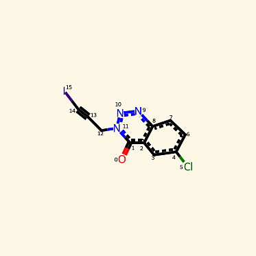 O=c1c2cc(Cl)ccc2nnn1CC#CI